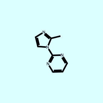 Cc1nccn1-c1n[c]ccn1